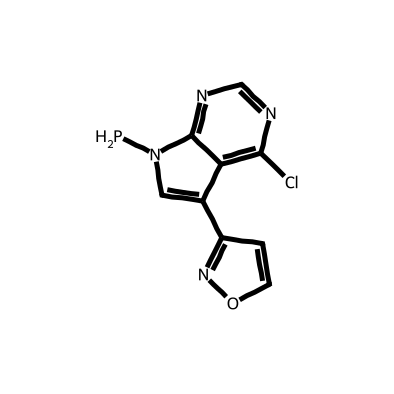 Pn1cc(-c2ccon2)c2c(Cl)ncnc21